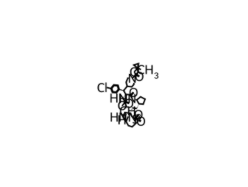 COC(=O)N[C@@H](C(=O)N[C@H]1CCC[C@@H]1CC[C@H]1CN[C@@H]2CCCS(=O)(=O)N1C2)[C@@H](c1ccc(Cl)cc1)C1CCN(C(=O)OC2(C)CC2)CC1